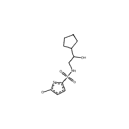 O=S(=O)(NCC(O)C1CCCC1)c1ccc(Cl)s1